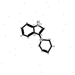 C1=CCN(c2c[nH]c3ccccc23)CC1